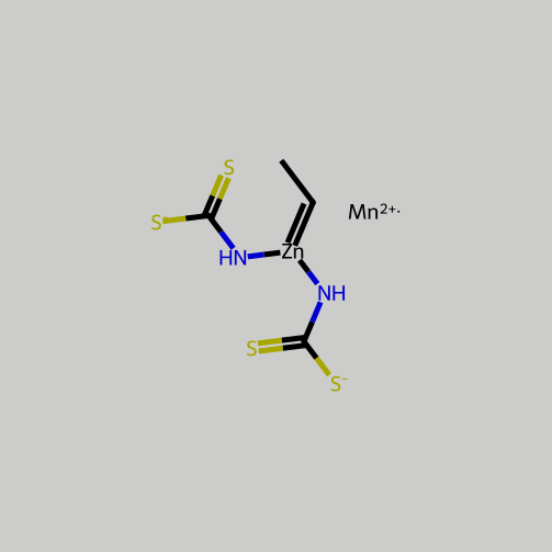 C[CH]=[Zn]([NH]C(=S)[S-])[NH]C(=S)[S-].[Mn+2]